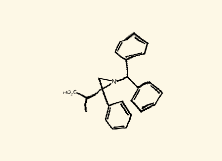 CC(C(=O)O)[C@@]1(c2ccccc2)CN1C(c1ccccc1)c1ccccc1